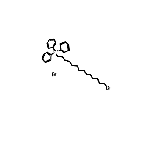 BrCCCCCCCCCCCCCC[P+](c1ccccc1)(c1ccccc1)c1ccccc1.[Br-]